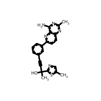 Cc1nc(N)c2nc(-c3cccc(C#CC(C)(O)c4ncc(C)s4)c3)ccc2n1